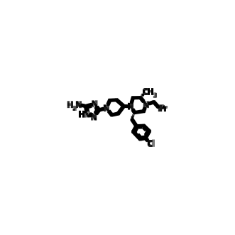 CC(C)CN1C[C@H](Cc2ccc(Cl)cc2)N(C2CCN(c3n[nH]c(N)n3)CC2)C[C@@H]1C